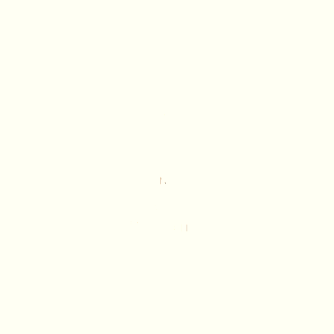 CC(=O)N1Cc2ccccc2Sc2ccccc21